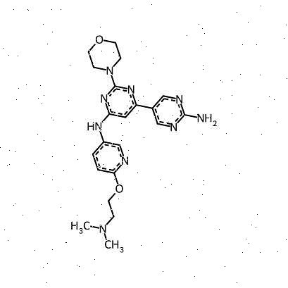 CN(C)CCOc1ccc(Nc2cc(-c3cnc(N)nc3)nc(N3CCOCC3)n2)cn1